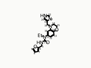 CCN(C(=O)NCc1ccco1)c1ccc2c(c1)N(Cc1c[nH]cn1)CCO2